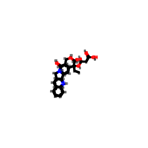 CCC1(OC(=O)CC(=O)O)C(=O)OCc2c1cc1n(c2=O)Cc2cc3ccccc3nc2-1